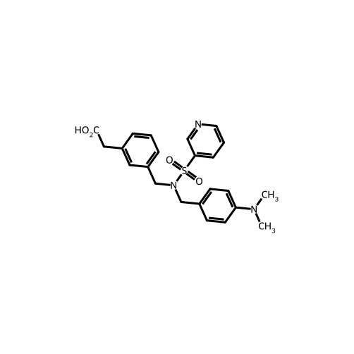 CN(C)c1ccc(CN(Cc2cccc(CC(=O)O)c2)S(=O)(=O)c2cccnc2)cc1